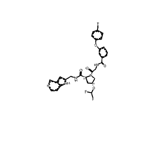 O=C(NCC(=O)N1C[C@H](OC(F)F)C[C@H]1C(=O)NCc1cc2cnccc2[nH]1)c1cccc(Oc2ccc(F)cc2)c1